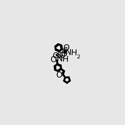 NS(=O)(=O)c1ccccc1S(=O)(=O)NC(=O)c1ccc2oc(C3CCCC3)cc2c1